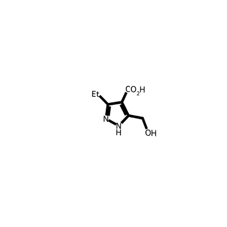 CCc1n[nH]c(CO)c1C(=O)O